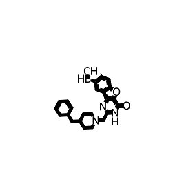 CBc1ccc2oc3c(=O)[nH]c(CN4CCC(CC5C=CC=CC5)CC4)nc3c2c1